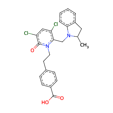 CC1Cc2ccccc2N1Cc1c(Cl)cc(Cl)c(=O)n1CCc1ccc(C(=O)O)cc1